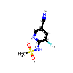 CS(=O)(=O)Nc1ncc(C#N)cc1F